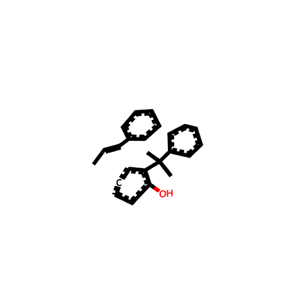 CC(C)(c1ccccc1)c1ccccc1O.CC=Cc1ccccc1